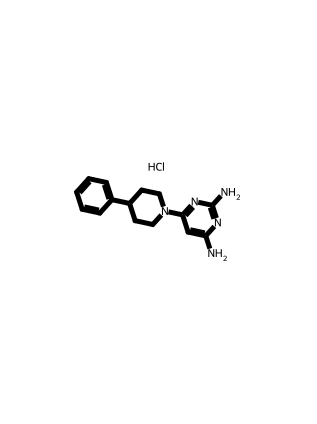 Cl.Nc1cc(N2CCC(c3ccccc3)CC2)nc(N)n1